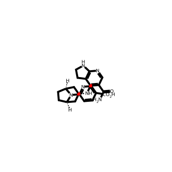 NC(=O)c1cnc2c(c1N[C@@H]1C[C@H]3CC[C@@H](C1)N3c1ccc(C(=O)O)cn1)CCN2